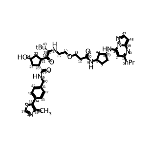 CCCc1cc(N[C@@H]2CCC(NC(=O)CCOCCN[C@H](C(=O)C3C[C@H](O)C[C@H]3C(=O)NCc3ccc(-c4scnc4C)cc3)C(C)(C)C)C2)n2nccc2n1